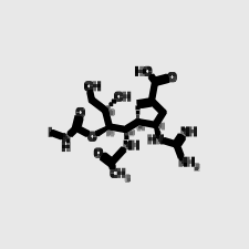 CC(=O)N[C@@H]([C@@H]1C=C(C(=O)O)C[C@H]1NC(=N)N)[C@@H](OC(=O)NI)[C@@H](O)CO